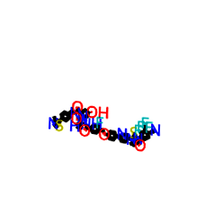 Cc1ncsc1-c1ccc(CNC(=O)[C@@H]2C[C@@H](O)CN2C(=O)[C@@H](NC(=O)c2ccc(COc3ccc(-c4ccc(N5C(=S)N(c6ccc(C#N)c(C(F)(F)F)c6F)C(=O)C5(C)C)cn4)cc3)c(F)c2)C(C)(C)C)cc1